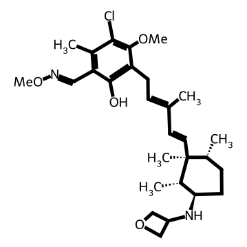 CO/N=C/c1c(C)c(Cl)c(OC)c(C/C=C(C)/C=C/[C@@]2(C)[C@H](C)CC[C@@H](NC3COC3)[C@@H]2C)c1O